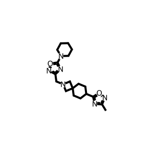 Cc1noc(C2CCC3(CC2)CN(Cc2noc(N4CCCCC4)n2)C3)n1